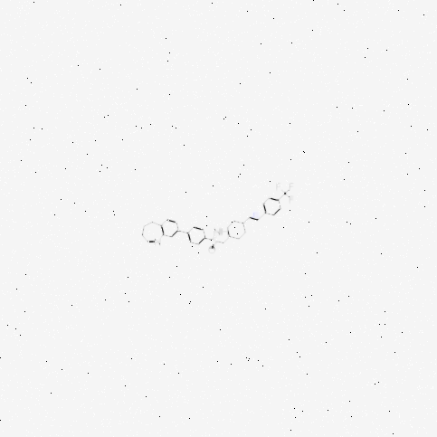 N=S(=O)(CC1CCC(/C=C/c2ccc(C(F)(F)F)cc2)CC1)c1ccc(-c2ccc3c(c2)N=CCCC3)cc1